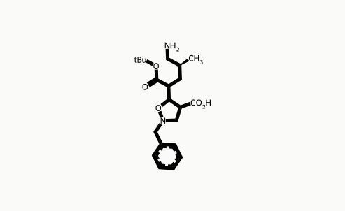 C[C@H](CN)CC(C(=O)OC(C)(C)C)C1ON(Cc2ccccc2)CC1C(=O)O